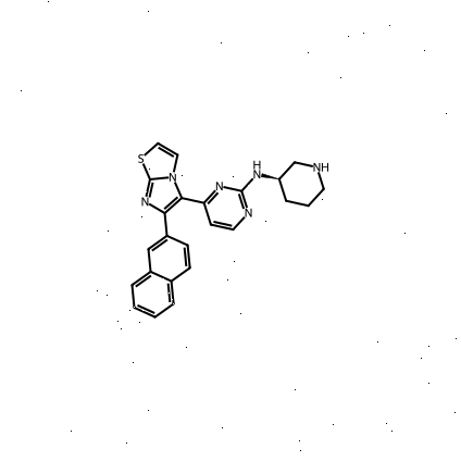 c1ccc2cc(-c3nc4sccn4c3-c3ccnc(N[C@@H]4CCCNC4)n3)ccc2c1